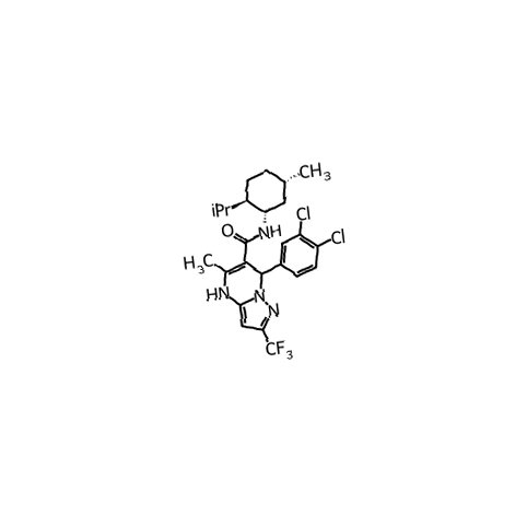 CC1=C(C(=O)N[C@H]2C[C@@H](C)CC[C@@H]2C(C)C)C(c2ccc(Cl)c(Cl)c2)n2nc(C(F)(F)F)cc2N1